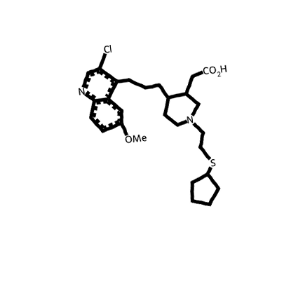 COc1ccc2ncc(Cl)c(CCCC3CCN(CCSC4CCCC4)CC3CC(=O)O)c2c1